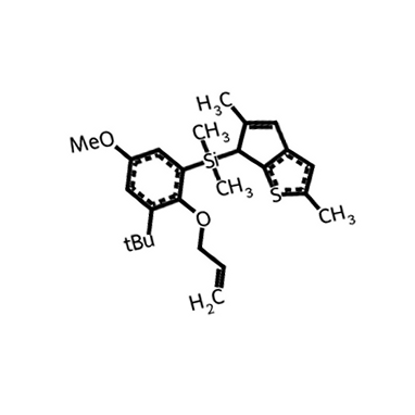 C=CCOc1c(C(C)(C)C)cc(OC)cc1[Si](C)(C)C1C(C)=Cc2cc(C)sc21